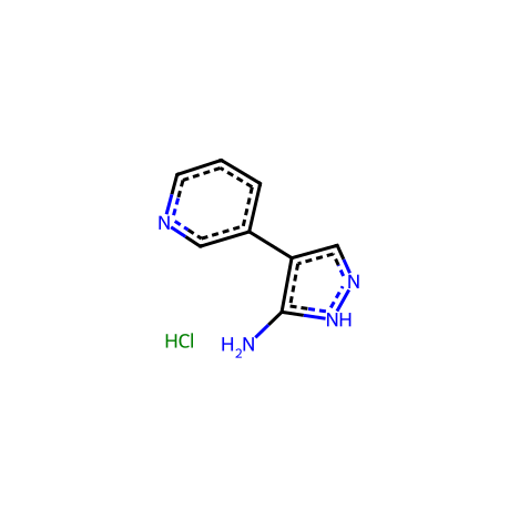 Cl.Nc1[nH]ncc1-c1cccnc1